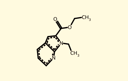 CCOC(=O)c1cc2cccnc2n1CC